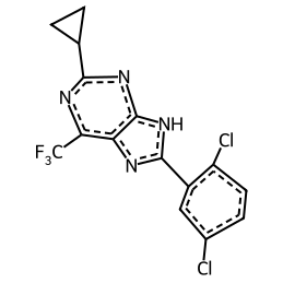 FC(F)(F)c1nc(C2CC2)nc2[nH]c(-c3cc(Cl)ccc3Cl)nc12